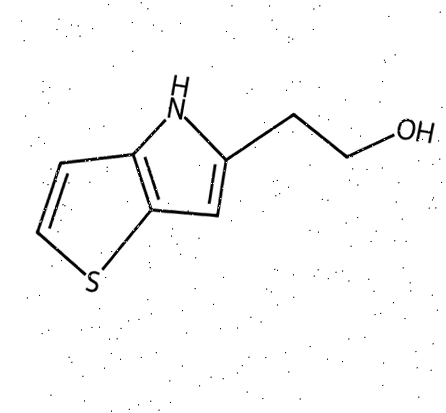 OCCc1cc2sccc2[nH]1